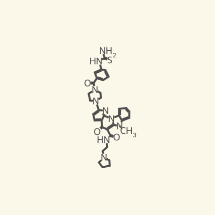 Cn1c2ccccc2n2c3nc(N4CCN(C(=O)c5cccc(NC(N)=S)c5)CC4)ccc3c(=O)c(C(=O)NCCN3CCCC3)c12